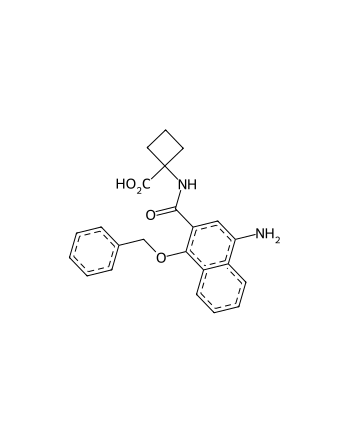 Nc1cc(C(=O)NC2(C(=O)O)CCC2)c(OCc2ccccc2)c2ccccc12